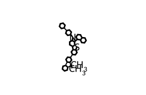 CC1(C)c2ccccc2-c2ccc(-c3ccc4sc5c(ccc6c5c5c7ccccc7ccc5n6-c5ccc(-c6ccccc6)cc5)c4c3)cc21